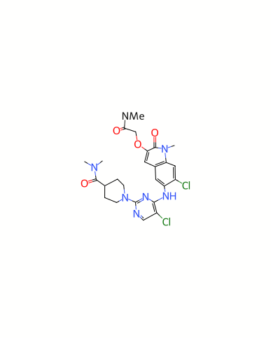 CNC(=O)COc1cc2cc(Nc3nc(N4CCC(C(=O)N(C)C)CC4)ncc3Cl)c(Cl)cc2n(C)c1=O